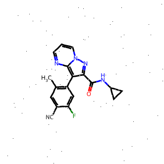 Cc1cc(C#N)c(F)cc1-c1c(C(=O)NC2CC2)nn2cccnc12